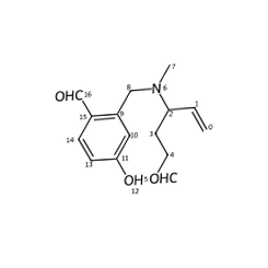 C=CC(CCC=O)N(C)Cc1cc(O)ccc1C=O